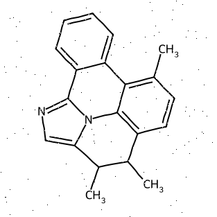 Cc1ccc2c3c1c1ccccc1c1ncc(n13)C(C)C2C